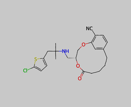 CC(C)(Cc1ccc(Cl)s1)NC[C@@H]1COc2cc(ccc2C#N)CCCCC(=O)O1